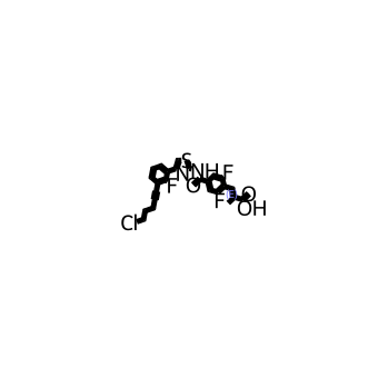 C/C(=C\c1c(F)cc(C(=O)Nc2nc(-c3cccc(C#CCCCCl)c3F)cs2)cc1F)C(=O)O